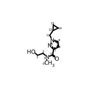 CN(CCO)C(=O)c1ccn(CC2CC2)n1